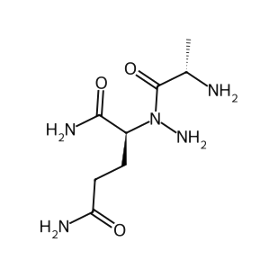 C[C@H](N)C(=O)N(N)[C@@H](CCC(N)=O)C(N)=O